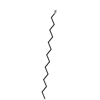 CCCCCCCCCCCCCCF